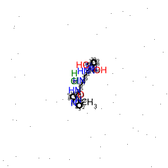 Cc1cccc2nc3cccc(C(=O)NCCCNCCCNC4=NN(O)c5ccccc5N4O)c3nc12.Cl